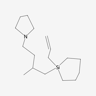 C=CC[Si]1(CC(C)CCN2CCCC2)CCCCC1